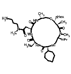 CCCCCC[C@H]1OC[C@@H](C)NC(=O)[C@H](CC(=O)N(C)CCCN)NC(=O)[C@H](CN)NC(=O)[C@H](C2CCCCCC2)NC[C@H](CCC)N(C)C(=O)[C@@H]1C